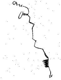 O=[C]CC(=O)CCCCCCCCCCCBr